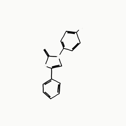 Oc1ccc(-n2cc(-c3ccccc3)[nH]c2=S)cc1